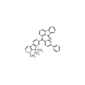 CC1CC=CC2=C1C(C)(C)c1cc(N(c3ccc(-c4ccccc4)cc3)c3cccc4c3C(=O)c3ccccc3-4)ccc12